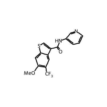 COc1cc2scc(C(=O)Nc3cccnc3)c2cc1C(F)(F)F